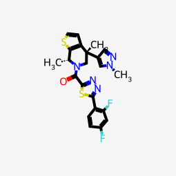 C[C@@H]1c2sccc2[C@](C)(c2cnn(C)c2)CN1C(=O)c1nnc(-c2ccc(F)cc2F)s1